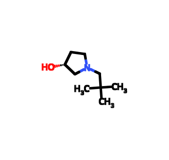 CC(C)(C)CN1CC[C@@H](O)C1